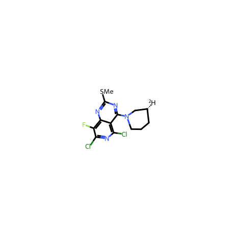 [2H][C@@H]1CCCN(c2nc(SC)nc3c(F)c(Cl)nc(Cl)c23)C1